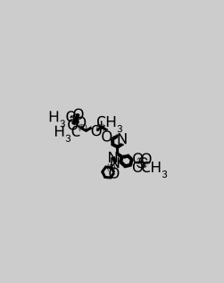 C[C@H](CCO[C@@H](C)COc1cncc(-c2nn([C@@H]3CCCCO3)c3ccc(OS(C)(=O)=O)cc23)c1)OS(C)(=O)=O